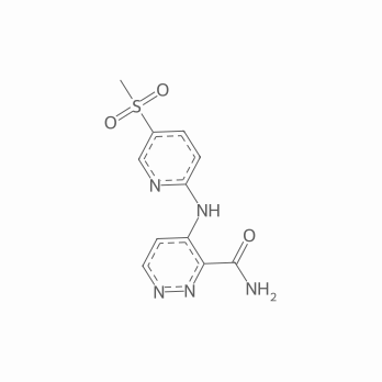 CS(=O)(=O)c1ccc(Nc2ccnnc2C(N)=O)nc1